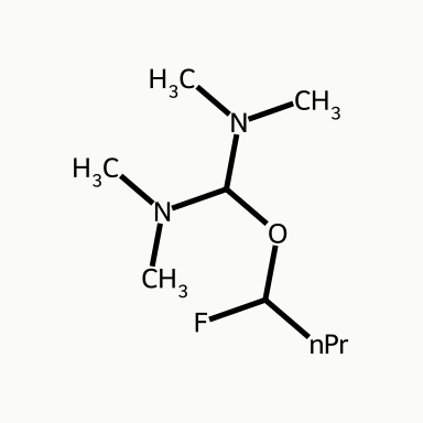 CCCC(F)OC(N(C)C)N(C)C